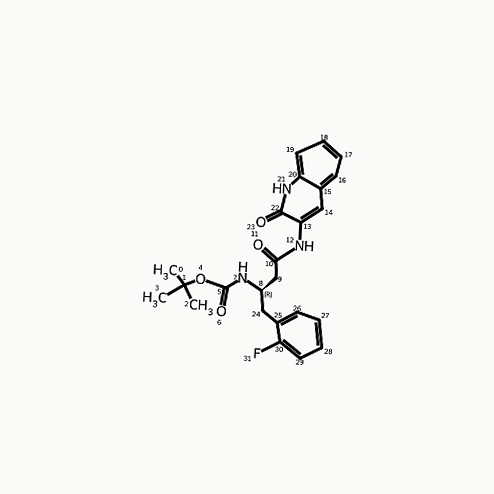 CC(C)(C)OC(=O)N[C@@H](CC(=O)Nc1cc2ccccc2[nH]c1=O)Cc1ccccc1F